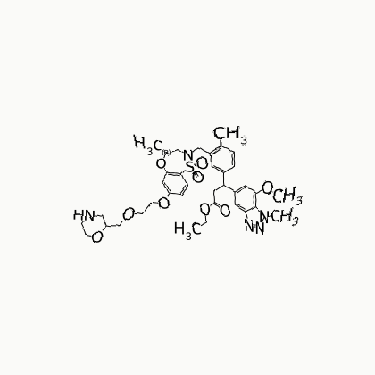 CCOC(=O)CC(c1ccc(C)c(CN2C[C@@H](C)Oc3cc(OCCOCC4CNCCO4)ccc3S2(=O)=O)c1)c1cc(OC)c2c(c1)nnn2C